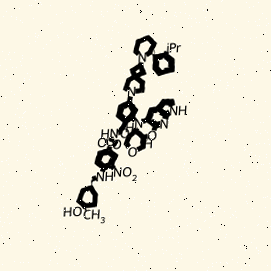 CC(C)c1ccccc1[C@H]1CCCCN1C1CC2(CCN(c3ccc(C(=O)NS(=O)(=O)c4ccc(NC[C@H]5CC[C@](C)(O)CC5)c([N+](=O)[O-])c4)c(N4c5cc6cc[nH]c6nc5O[C@H]5COCC[C@@H]54)c3)CC2)C1